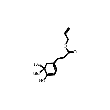 C=CCOC(=O)CCC1=CC=C(O)C(C(C)(C)C)(C(C)(C)C)C1